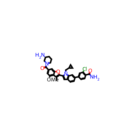 COc1cc(C(=O)N2CCC[C@@H](N)C2)cc2oc(-c3cc4ccc(-c5ccc(C(N)=O)c(Cl)c5)cc4n3CC3CC3)c(C)c12